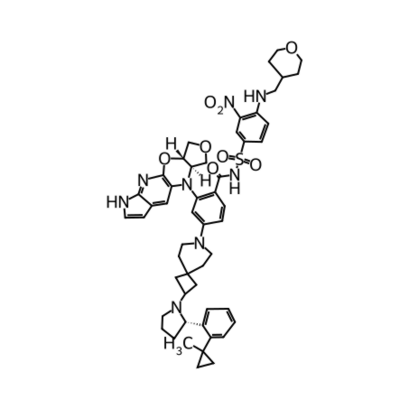 CC1(c2ccccc2[C@@H]2CCCN2C2CC3(CCN(c4ccc(C(=O)NS(=O)(=O)c5ccc(NCC6CCOCC6)c([N+](=O)[O-])c5)c(N5c6cc7cc[nH]c7nc6O[C@@H]6COC[C@H]65)c4)CC3)C2)CC1